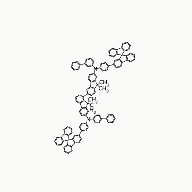 CC1(C)c2ccc(-c3cccc4c3C(C)(C)c3cc(N(c5ccc(-c6ccccc6)cc5)c5ccc(-c6ccc7c(c6)C6(c8ccccc8-c8ccccc86)c6ccccc6-7)cc5)ccc3-4)cc2-c2ccc(N(c3ccc(-c4ccc5c(c4)C4(c6ccccc6-c6ccccc64)c4ccccc4-5)cc3)c3cccc(-c4ccccc4)c3)cc21